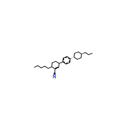 CCCCCC1CCC(c2ccc([C@H]3CC[C@H](CCC)CC3)cc2)C=C1C#N